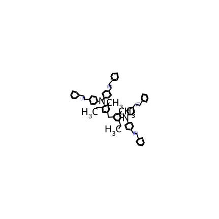 CCc1cc(Cc2cc(C)c(N(c3ccc(/C=C/c4ccccc4)cc3)c3ccc(/C=C/c4ccccc4)cc3)c(CC)c2)cc(C)c1N(c1ccc(/C=C/c2ccccc2)cc1)c1ccc(/C=C/c2ccccc2)cc1